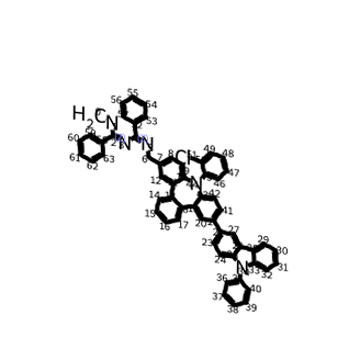 C=N/C(=N\C(=N/Cc1ccc2c(c1)-c1ccccc1-c1cc(-c3ccc4c(c3)c3ccccc3n4-c3ccccc3)ccc1N2c1ccccc1Cl)c1ccccc1)c1ccccc1